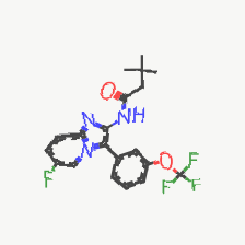 CC(C)(C)CC(=O)Nc1nc2ccc(F)cn2c1-c1cccc(OC(F)(F)F)c1